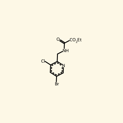 CCOC(=O)C(=O)NCc1ncc(Br)cc1Cl